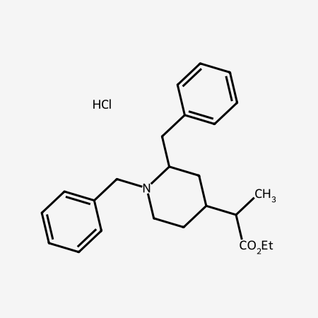 CCOC(=O)C(C)C1CCN(Cc2ccccc2)C(Cc2ccccc2)C1.Cl